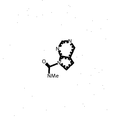 CNC(=O)n1ccc2cncnc21